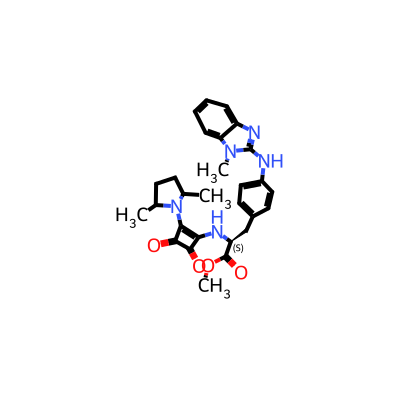 COC(=O)[C@H](Cc1ccc(Nc2nc3ccccc3n2C)cc1)Nc1c(N2C(C)CCC2C)c(=O)c1=O